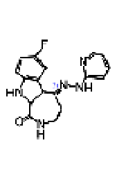 O=C1NCC/C(=N\Nc2ccccn2)C2c3cc(F)ccc3NC12